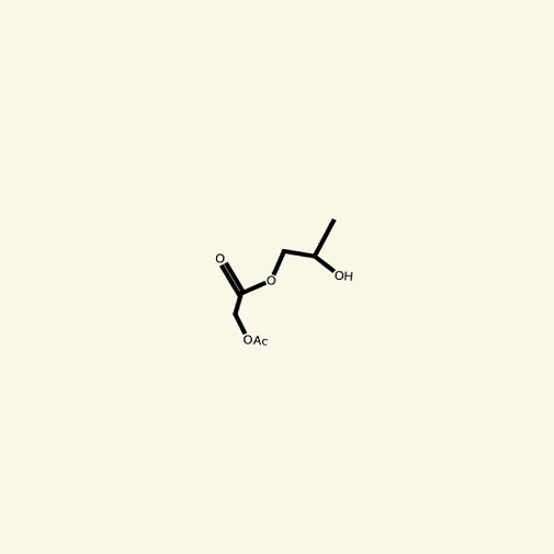 CC(=O)OCC(=O)OCC(C)O